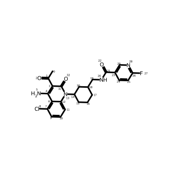 CC(=O)c1c(N)c2c(Cl)cccc2n(C2CCCC(CNC(=O)c3ccc(F)nc3)C2)c1=O